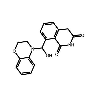 O=C1Cc2cccc(C(O)N3CCOc4ccccc43)c2C(=O)N1